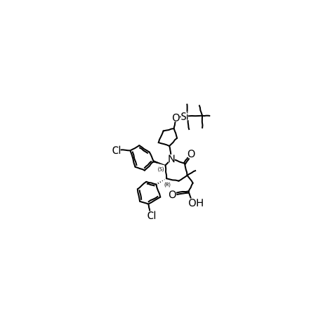 CC1(CC(=O)O)C[C@H](c2cccc(Cl)c2)[C@@H](c2ccc(Cl)cc2)N(C2CCC(O[Si](C)(C)C(C)(C)C)C2)C1=O